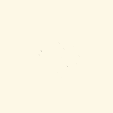 Cc1cc(Nc2cc(Nc3nc(C)c(-c4cnn(C)c4C)cc3N(C)S(C)(=O)=O)ncn2)ncn1